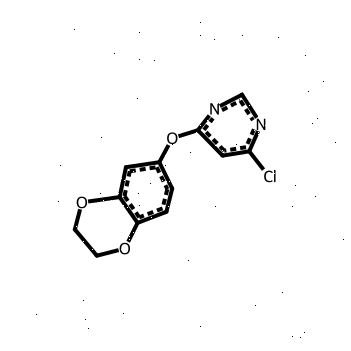 Clc1cc(Oc2ccc3c(c2)OCCO3)ncn1